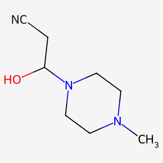 CN1CCN(C(O)CC#N)CC1